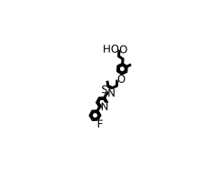 Cc1cc(OCCc2nc(-c3ccc(-c4cccc(F)c4)nc3)sc2C)ccc1CCC(=O)O